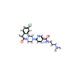 CC(C(=O)N1CCN(c2ccc(C(=O)NCCCN(C)C)cn2)CC1)c1ccc(Cl)cc1